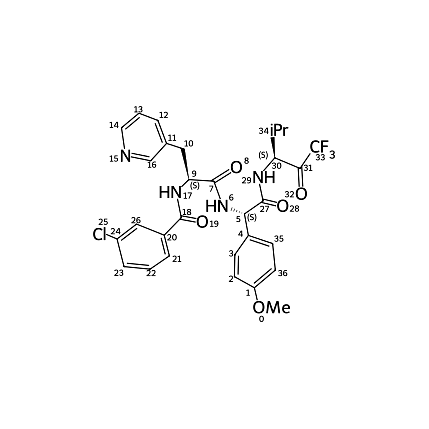 COc1ccc([C@H](NC(=O)[C@H](Cc2cccnc2)NC(=O)c2cccc(Cl)c2)C(=O)N[C@H](C(=O)C(F)(F)F)C(C)C)cc1